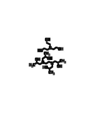 CC(O)CN(CCN(CC(C)O)CC(C)O)CC(C)O.OCCN(CCO)CCO